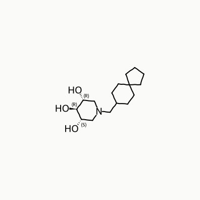 O[C@H]1[C@H](O)CN(CC2CCC3(CCCC3)CC2)C[C@@H]1O